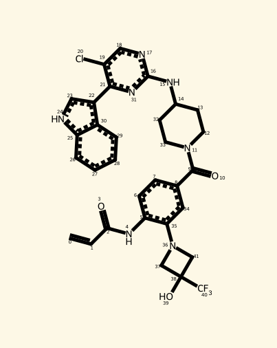 C=CC(=O)Nc1ccc(C(=O)N2CCC(Nc3ncc(Cl)c(-c4c[nH]c5ccccc45)n3)CC2)cc1N1CC(O)(C(F)(F)F)C1